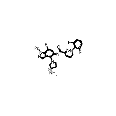 CC(C)n1ncc2c(N3CC[C@@H](N)C3)c(NC(=O)C3=NN(c4c(F)cccc4F)CC=C3)cc(F)c21